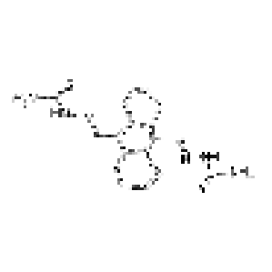 NC(=S)N/N=C/c1c2ccccc2c(/C=N/NC(N)=S)c2ccccc12